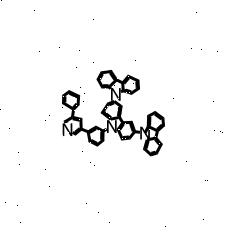 c1ccc(-c2cncc(-c3cccc(-n4c5ccc(-n6c7ccccc7c7ccccc76)cc5c5cc(-n6c7ccccc7c7ccccc76)ccc54)c3)c2)cc1